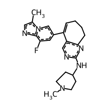 Cc1cnc2c(F)cc(C3=CCCCc4nc(NC5CCN(C)CC5)ncc43)cn12